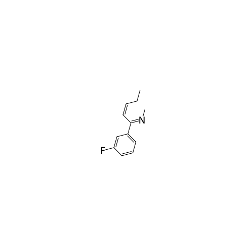 CC/C=C\C(=N/C)c1cccc(F)c1